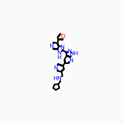 c1cc(-c2cncc3[nH]c(-c4n[nH]c5ncc(-c6cncc(CNCC7CCCC7)c6)cc45)nc23)co1